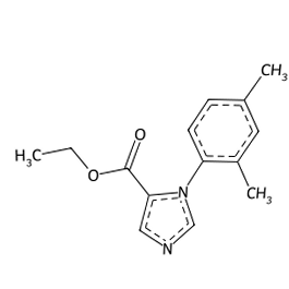 CCOC(=O)c1cncn1-c1ccc(C)cc1C